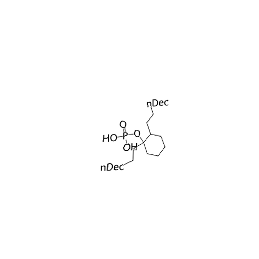 CCCCCCCCCCCCC1CCCCC1(CCCCCCCCCCCC)OP(=O)(O)O